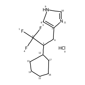 Cl.FC(F)(F)C(Cc1c[nH]cn1)C1CCCCC1